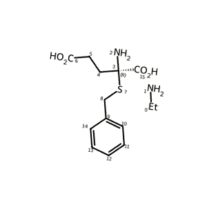 CCN.N[C@](CCC(=O)O)(SCc1ccccc1)C(=O)O